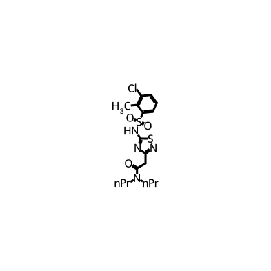 CCCN(CCC)C(=O)Cc1nsc(NS(=O)(=O)c2cccc(Cl)c2C)n1